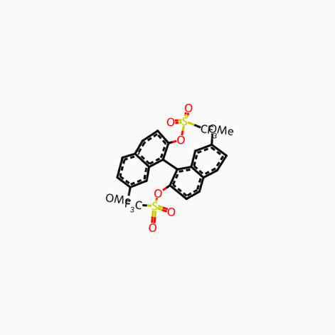 COc1ccc2ccc(OS(=O)(=O)C(F)(F)F)c(-c3c(OS(=O)(=O)C(F)(F)F)ccc4ccc(OC)cc34)c2c1